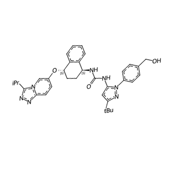 CC(C)c1nnc2ccc(O[C@H]3CC[C@H](NC(=O)Nc4cc(C(C)(C)C)nn4-c4ccc(CO)cc4)c4ccccc43)cn12